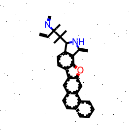 C=CC(C)(N=C)C(C)(C)C1NC(=C)c2c1ccc1c2oc2cc3c(ccc4ccccc43)cc21